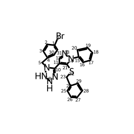 Brc1ccc(CN2NNN=C2c2cnn(-c3ccccc3)c2SCc2ccccc2)cc1